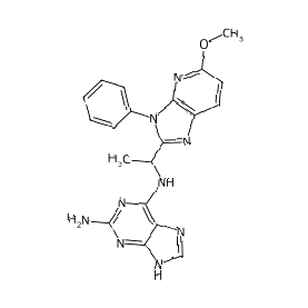 COc1ccc2nc(C(C)Nc3nc(N)nc4[nH]cnc34)n(-c3ccccc3)c2n1